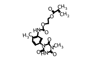 C=C(C)C(=O)OCCOC(=O)Nc1cc(-n2c(=O)[nH]c(=O)n(C)c2=O)ccc1C